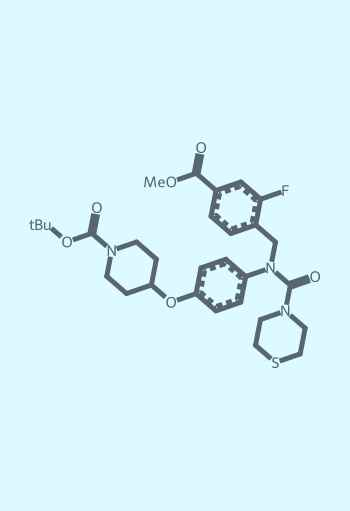 COC(=O)c1ccc(CN(C(=O)N2CCSCC2)c2ccc(OC3CCN(C(=O)OC(C)(C)C)CC3)cc2)c(F)c1